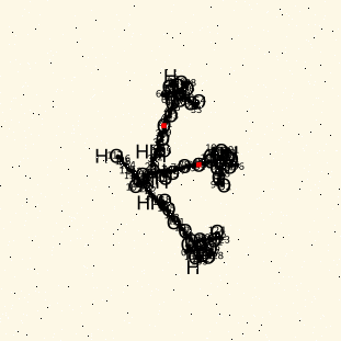 CC(=O)N[C@H]1[C@H](OCCOCCOCCOCC(=O)NCCCC[C@H](NC(=O)[C@H](CCCCNC(=O)COCCOCCOCCO[C@@H]2O[C@H](COC(C)=O)[C@H](OC(C)=O)[C@H](OC(C)=O)[C@H]2NC(C)C)CNC(=O)COCCOCCOCCO[C@@H]2O[C@H](COC(C)=O)[C@H](OC(C)=O)[C@H](OC(C)=O)[C@H]2NC(C)=O)C(=O)NCCCCCCO)O[C@H](COC(C)=O)[C@H](OC(C)=O)[C@@H]1OC(C)=O